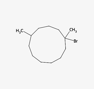 CC1CCCCCCC(C)(Br)CCC1